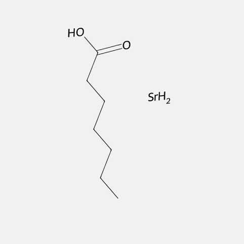 CCCCCCC(=O)O.[SrH2]